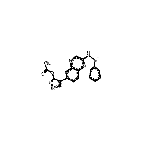 C[C@@H](Nc1cnc2cc(-c3c[nH]nc3OC(=O)C(C)(C)C)ccc2n1)c1ccccc1